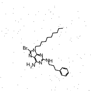 CCCCCCCCCCn1c(Br)nc2c(N)nc(NCCCc3ccccc3)nc21